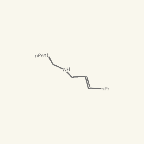 CCCC=CCNCCCCCC